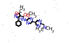 COc1nc(-c2cnc(CN(C)C)nc2)cnc1NC(=O)c1c(-c2ccccc2)noc1C